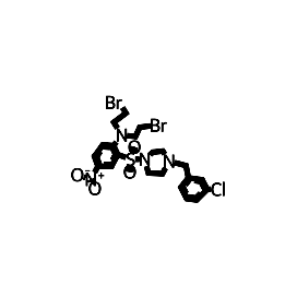 O=[N+]([O-])c1ccc(N(CCBr)CCBr)c(S(=O)(=O)N2CCN(Cc3cccc(Cl)c3)CC2)c1